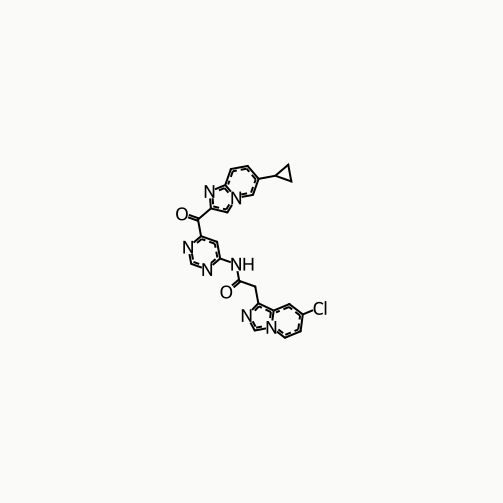 O=C(Cc1ncn2ccc(Cl)cc12)Nc1cc(C(=O)c2cn3cc(C4CC4)ccc3n2)ncn1